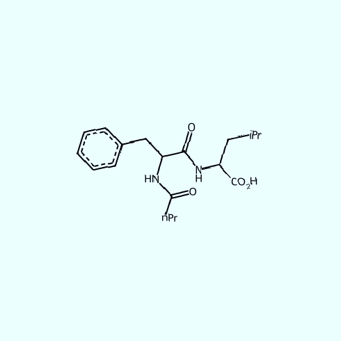 CCCC(=O)NC(Cc1ccccc1)C(=O)NC(CC(C)C)C(=O)O